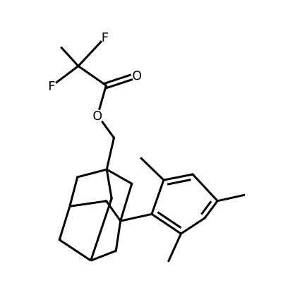 Cc1cc(C)c(C23CC4CC(CC(COC(=O)C(C)(F)F)(C4)C2)C3)c(C)c1